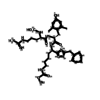 Cc1cc(O)cc(C)c1C[C@@H](NC(=O)[C@@H](CCCNC(=N)N)NC(=O)O)C(=O)N[C@H](CCCCNC(=O)OC(C)(C)C)c1nc(Cc2ccccc2)no1